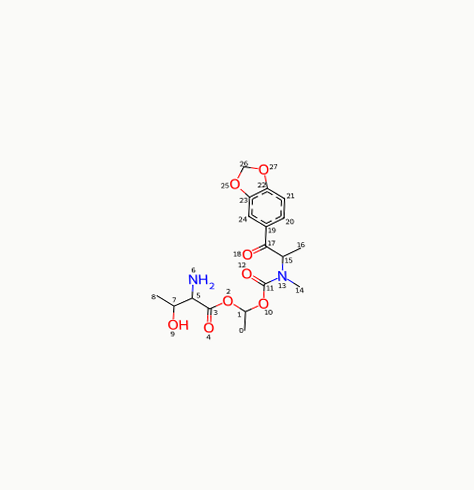 CC(OC(=O)C(N)C(C)O)OC(=O)N(C)C(C)C(=O)c1ccc2c(c1)OCO2